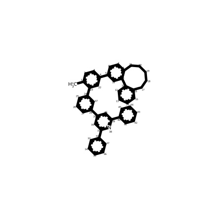 Cc1ccc(-c2ccc3c(c2)-c2ccccc2CCCCC3)cc1-c1cccc(-c2cc(-c3ccccc3)nc(-c3ccccc3)c2)c1